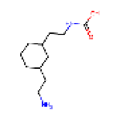 NCCC1CCCC(CCNC(=O)O)C1